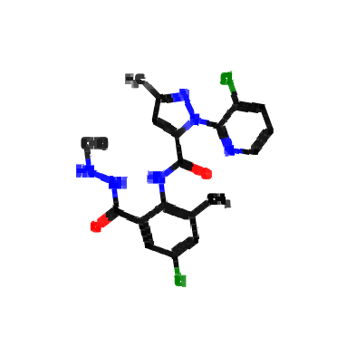 Cc1cc(Cl)cc(C(=O)NNC=O)c1NC(=O)c1cc(C(F)(F)F)nn1-c1ncccc1Cl